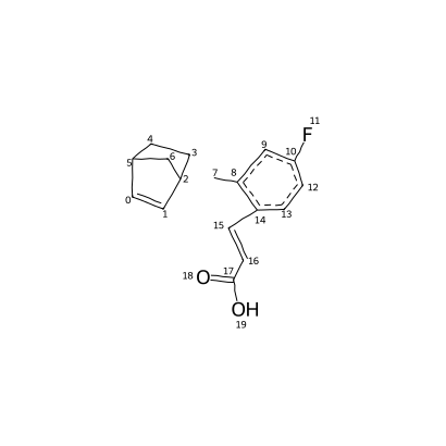 C1=CC2CCC1C2.Cc1cc(F)ccc1C=CC(=O)O